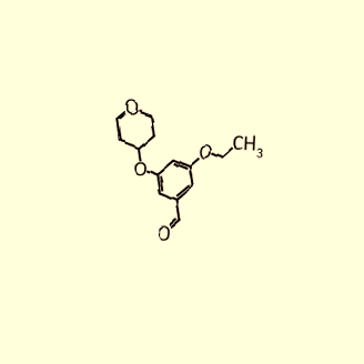 CCOc1cc(C=O)cc(OC2CCOCC2)c1